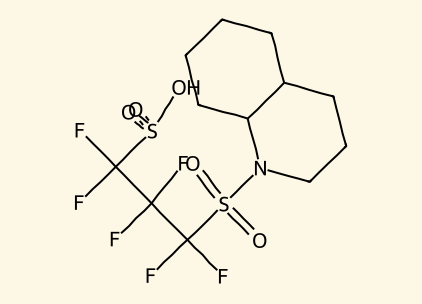 O=S(=O)(O)C(F)(F)C(F)(F)C(F)(F)S(=O)(=O)N1CCCC2CCCCC21